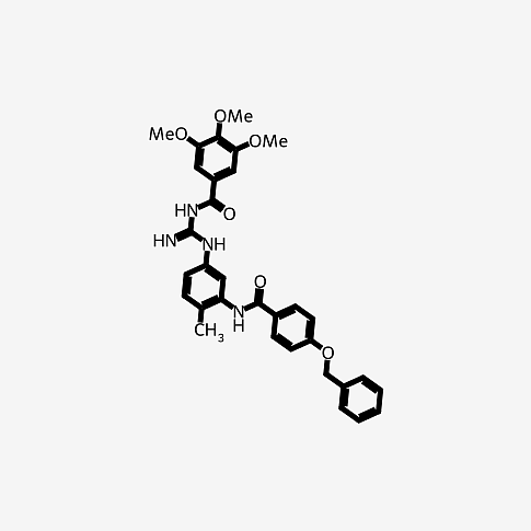 COc1cc(C(=O)NC(=N)Nc2ccc(C)c(NC(=O)c3ccc(OCc4ccccc4)cc3)c2)cc(OC)c1OC